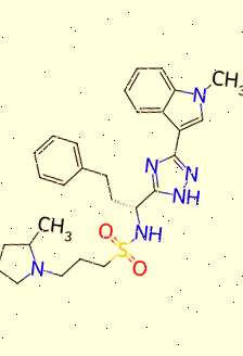 CC1CCCN1CCCS(=O)(=O)N[C@H](CCc1ccccc1)c1nc(-c2cn(C)c3ccccc23)n[nH]1